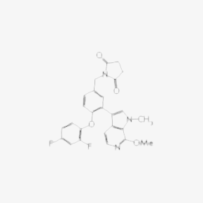 COc1nccc2c(-c3cc(CN4C(=O)CCC4=O)ccc3Oc3ccc(F)cc3F)cn(C)c12